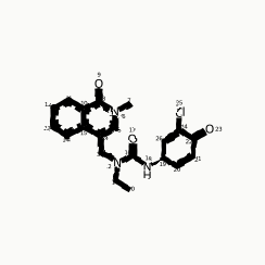 CCN(Cc1cn(C)c(=O)c2ccccc12)C(=O)N[C@@H]1C=CC(=O)C(Cl)=C1